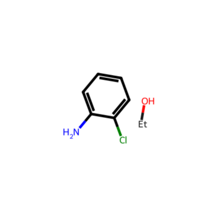 CCO.Nc1ccccc1Cl